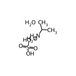 CC(C)N.O.O.O=S(=O)(O)O